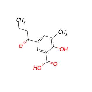 CCCC(=O)c1cc(C)c(O)c(C(=O)O)c1